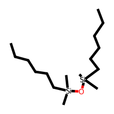 CCCCCC[Si](C)(C)O[Si](C)(C)CCCCCC